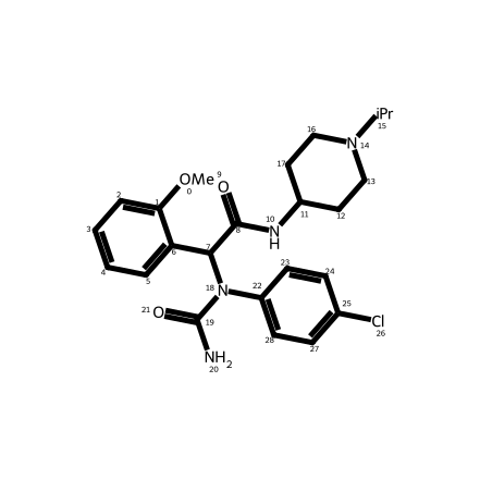 COc1ccccc1C(C(=O)NC1CCN(C(C)C)CC1)N(C(N)=O)c1ccc(Cl)cc1